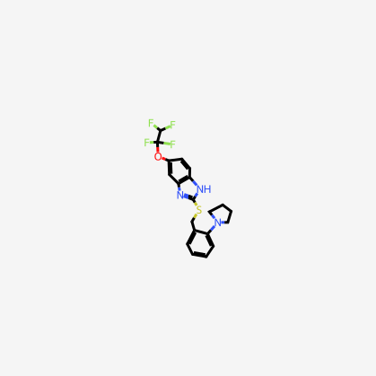 FC(F)C(F)(F)Oc1ccc2[nH]c(SCc3ccccc3N3CCCC3)nc2c1